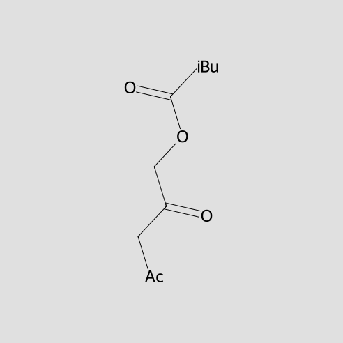 CCC(C)C(=O)OCC(=O)CC(C)=O